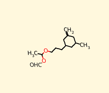 C=C1CC(C)CC(CCCOC(C)OC=O)C1